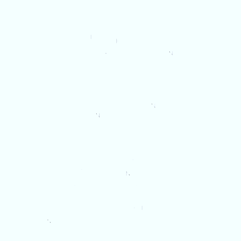 C[C@H](NC(=O)c1c(CN2CCC(N3CCCCC3)CC2)c(-c2cccc(C(F)(F)F)c2)nc2ccc(OCC#N)cc12)c1ccccc1